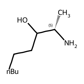 CCCCCCC(O)[C@H](C)N